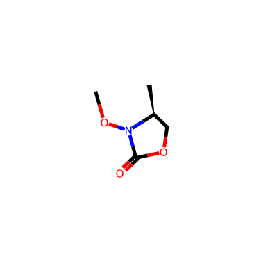 CON1C(=O)OC[C@@H]1C